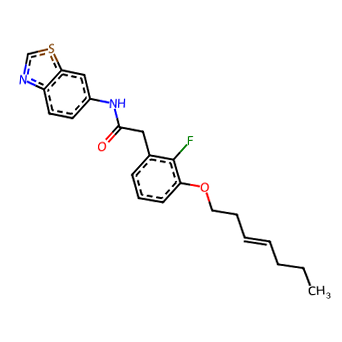 CCC/C=C/CCOc1cccc(CC(=O)Nc2ccc3ncsc3c2)c1F